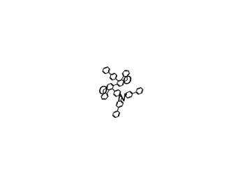 c1ccc(-c2ccc(-c3c(-c4ccc5oc6ccccc6c5c4-c4ccc(N(c5ccc(-c6ccccc6)cc5)c5ccc(-c6ccccc6)cc5)cc4)ccc4oc5ccccc5c34)cc2)cc1